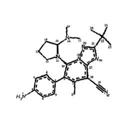 Cc1c(-c2ccc(N)cc2)c(N2CCCC2N(C)C)n2nc(C(C)(C)C)nc2c1C#N